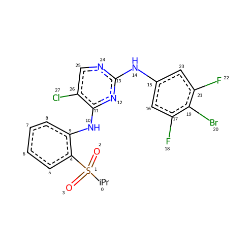 CC(C)S(=O)(=O)c1ccccc1Nc1nc(Nc2cc(F)c(Br)c(F)c2)ncc1Cl